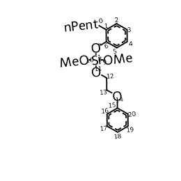 CCCCCc1ccccc1O[Si](OC)(OC)OCCOc1ccccc1